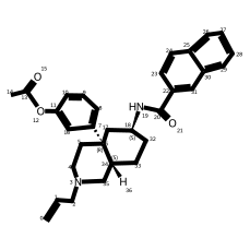 C=CCN1CC[C@@]2(c3cccc(OC(C)=O)c3)C[C@@H](NC(=O)c3ccc4ccccc4c3)CC[C@@H]2C1